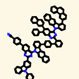 N#Cc1ccc(-c2ccc3c(-n4c5cc6ccccc6cc5c5c(-c6ccc(-c7ccccc7-c7nc(-n8c9cc%10ccccc%10cc9c9c(-c%10ccc%11ccc%12ccccc%12c%11c%10)cccc98)c8cc(-c9ccc%10ccccc%10c9)c(-c9ccccc9)cc8n7)cc6)cccc54)nc(-c4ccc5c(c4)c4ccccc4n5-c4ccccc4)nc3c2)cc1